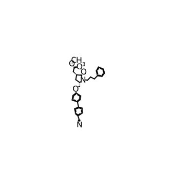 COC(=O)C[C@@H]1C[C@@H](COc2ccc(-c3ccc(C#N)cc3)cc2)N(CCCc2ccccc2)C1=O